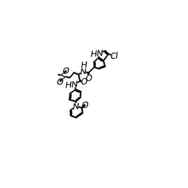 CS(=O)(=O)CCC(NC(=O)c1ccc2c(Cl)c[nH]c2c1)C(=O)Nc1ccc(-n2ccccc2=O)cc1